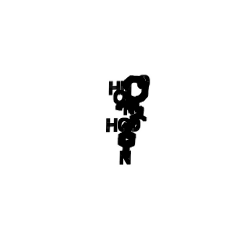 CCc1nn(C[C@@H](C)COC(O)c2ccc(C#N)cc2)c2c1C(=O)NCCCOCCC2